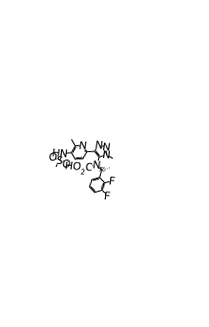 Cc1nc(-c2nnn(C)c2N(C(=O)O)[C@H](C)c2cccc(F)c2F)ccc1NS(C)(=O)=O